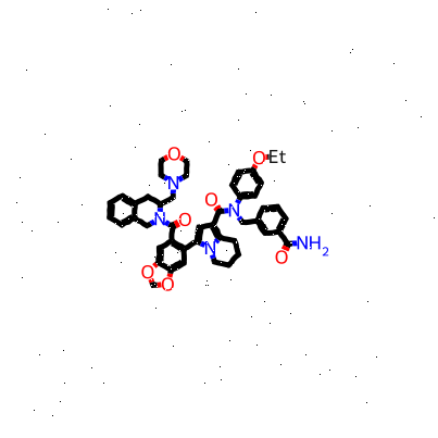 CCOc1ccc(N(Cc2cccc(C(N)=O)c2)C(=O)c2cc(-c3cc4c(cc3C(=O)N3Cc5ccccc5CC3CN3CCOCC3)OCO4)n3c2CCCC3)cc1